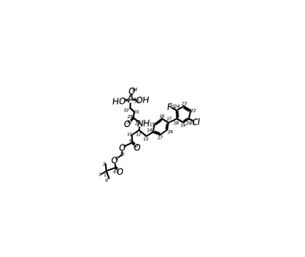 CC(C)(C)C(=O)OCOC(=O)CC(Cc1ccc(-c2cc(Cl)ccc2F)cc1)NC(=O)CCP(=O)(O)O